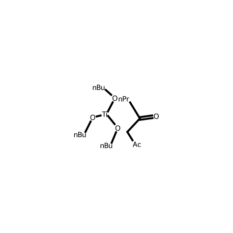 CCCC(=O)CC(C)=O.CCCC[O][Ti]([O]CCCC)[O]CCCC